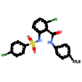 O=C(O)c1ccc(NC(=O)c2c(Cl)cccc2NS(=O)(=O)c2ccc(Cl)cc2)cc1